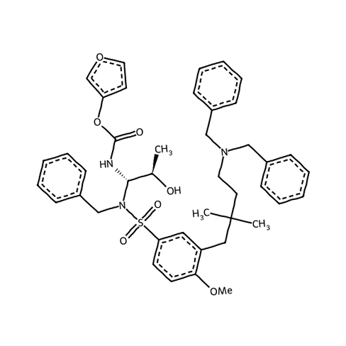 COc1ccc(S(=O)(=O)N(Cc2ccccc2)[C@H](NC(=O)Oc2ccoc2)[C@@H](C)O)cc1CC(C)(C)CCN(Cc1ccccc1)Cc1ccccc1